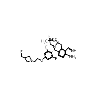 C[C@H]1Cc2c(ccc(N)c2C=N)[C@H](c2c(F)cc(OCCN3CC(CF)C3)cc2F)N1CC(C)(C)F